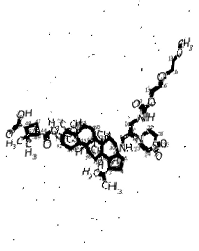 C=C(C)[C@@H]1CC[C@]2(NCC(CNC(=O)OCCOCCOC)N3CCS(=O)(=O)CC3)CC[C@]3(C)[C@H](CC[C@@H]4[C@@]5(C)CC[C@H](OC(=O)[C@H]6C[C@@H](C(=O)O)C6(C)C)C(C)(C)[C@@H]5CC[C@]43C)[C@@H]12